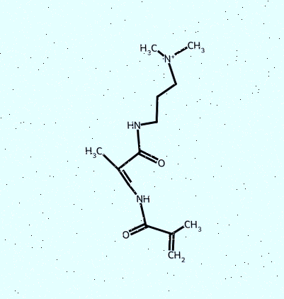 C=C(C)C(=O)NC=C(C)C(=O)NCCC[N+](C)C